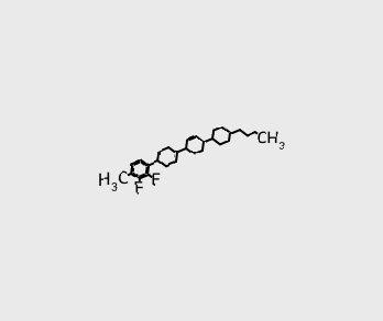 CCCCC1CCC(C2C=CC(C3CCC(c4ccc(C)c(F)c4F)CC3)CC2)CC1